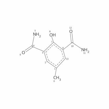 Cc1cc(C(N)=O)c(O)c(C(N)=O)c1